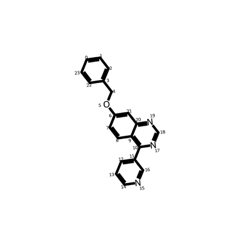 c1ccc(COc2ccc3c(-c4cccnc4)ncnc3c2)cc1